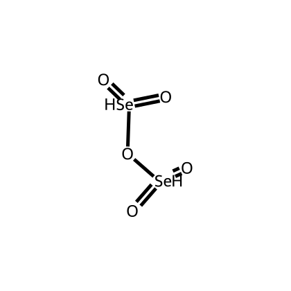 O=[SeH](=O)O[SeH](=O)=O